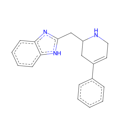 C1=C(c2ccccc2)CC(Cc2nc3ccccc3[nH]2)NC1